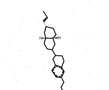 CC=C[C@@H]1CC[C@@H]2CC(C3CCc4cc(CCC)ccc4C3)CC[C@@H]2C1